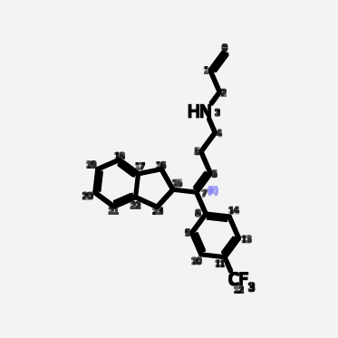 C=CCNCC/C=C(/c1ccc(C(F)(F)F)cc1)C1Cc2ccccc2C1